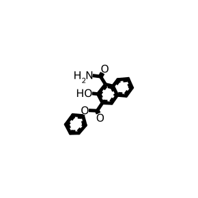 NC(=O)c1c(O)c(C(=O)Oc2ccccc2)cc2ccccc12